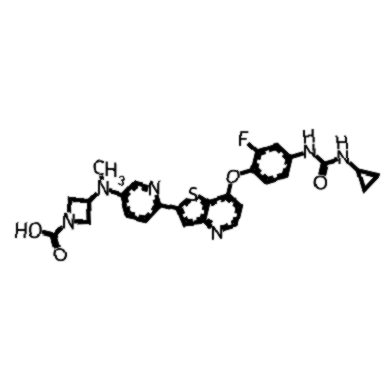 CN(c1ccc(-c2cc3nccc(Oc4ccc(NC(=O)NC5CC5)cc4F)c3s2)nc1)C1CN(C(=O)O)C1